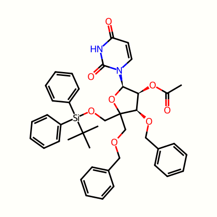 CC(=O)O[C@@H]1[C@H](n2ccc(=O)[nH]c2=O)OC(COCc2ccccc2)(CO[Si](c2ccccc2)(c2ccccc2)C(C)(C)C)[C@@H]1OCc1ccccc1